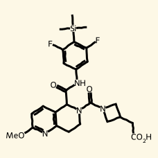 COc1ccc2c(n1)CCN(C(=O)N1CC(CC(=O)O)C1)C2C(=O)Nc1cc(F)c([Si](C)(C)C)c(F)c1